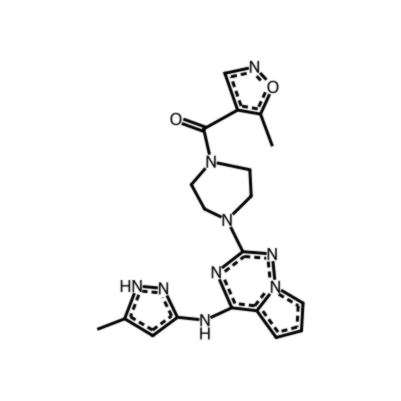 Cc1cc(Nc2nc(N3CCN(C(=O)c4cnoc4C)CC3)nn3cccc23)n[nH]1